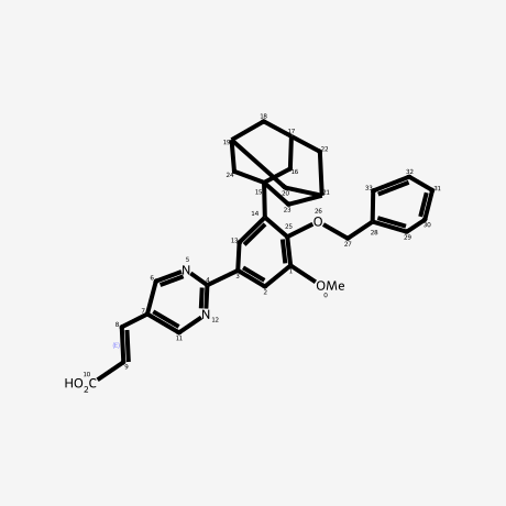 COc1cc(-c2ncc(/C=C/C(=O)O)cn2)cc(C23CC4CC(CC(C4)C2)C3)c1OCc1ccccc1